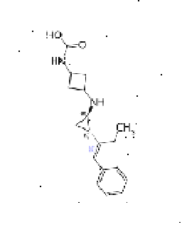 CC/C(=C\c1ccccc1)[C@@H]1C[C@H]1NC1CC(NC(=O)O)C1